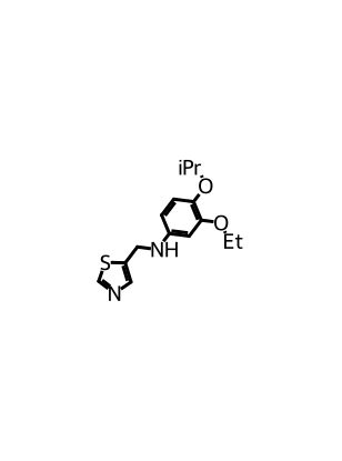 CCOc1cc(NCc2cncs2)ccc1OC(C)C